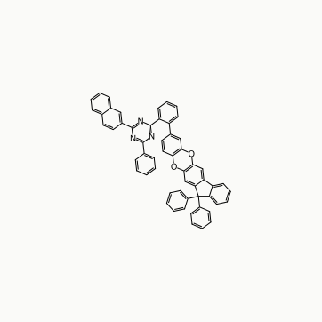 c1ccc(-c2nc(-c3ccc4ccccc4c3)nc(-c3ccccc3-c3ccc4c(c3)Oc3cc5c(cc3O4)C(c3ccccc3)(c3ccccc3)c3ccccc3-5)n2)cc1